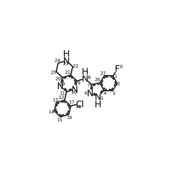 Fc1ccc2[nH]nc(Nc3nc(-c4ccccc4Cl)nc4c3CNCC4)c2c1